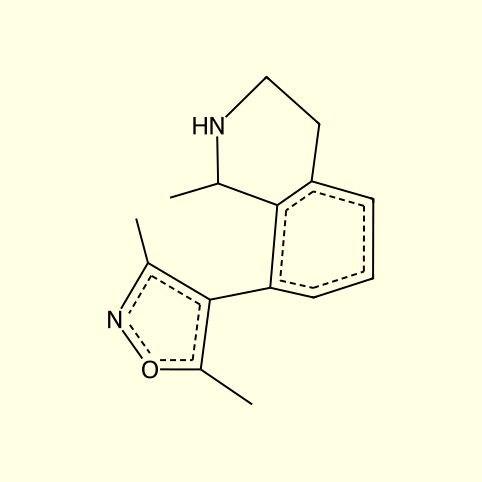 Cc1noc(C)c1-c1cccc2c1C(C)NCC2